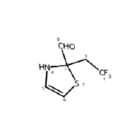 O=CC1(CC(F)(F)F)NC=CS1